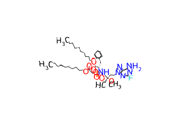 C#C[C@](CCn1cnc2c(N)nc(F)nc21)(COP(=O)(N[C@@H](Cc1ccccc1)C(=O)OCCCCCCCCCC)OCC(=O)OCCCCCCCCCC)OC